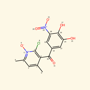 Cc1cc(C)[n+]([O-])c(Cl)c1C(=O)c1cc(O)c(O)c([N+](=O)[O-])c1